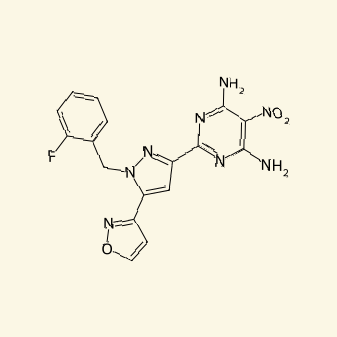 Nc1nc(-c2cc(-c3ccon3)n(Cc3ccccc3F)n2)nc(N)c1[N+](=O)[O-]